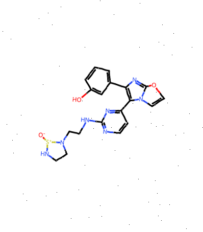 [O-][S+]1NCCN1CCNc1nccc(-c2c(-c3cccc(O)c3)nc3occn23)n1